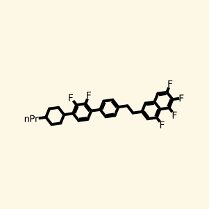 CCCC1CCC(c2ccc(-c3ccc(CCc4cc(F)c5c(F)c(F)c(F)cc5c4)cc3)c(F)c2F)CC1